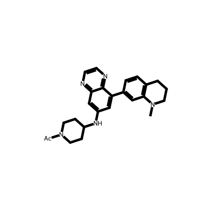 CC(=O)N1CCC(Nc2cc(-c3ccc4c(c3)N(C)CCC4)c3nccnc3c2)CC1